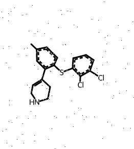 Cc1ccc(Sc2cccc(Cl)c2Cl)c(C2=CCNCC2)c1